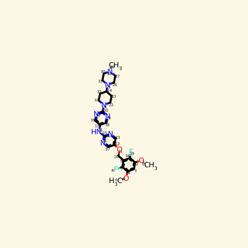 COc1cc(OC)c(F)c(COc2cnc(Nc3cnc(N4CCC(N5CCN(C)CC5)CC4)nc3)nc2)c1F